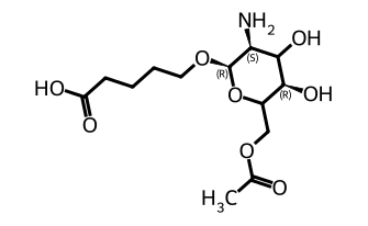 CC(=O)OCC1O[C@@H](OCCCCC(=O)O)[C@@H](N)C(O)[C@H]1O